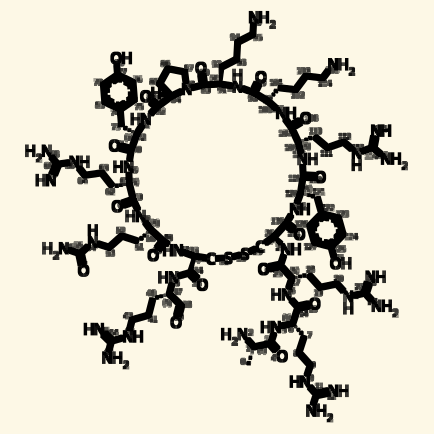 C[C@H](N)C(=O)N[C@@H](CCCNC(=N)N)C(=O)N[C@@H](CCCNC(=N)N)C(=O)N[C@H]1CSSC[C@@H](C(=O)N[C@H](C=O)CCCNC(=N)N)NC(=O)[C@H](CCCNC(N)=O)NC(=O)[C@H](CCCNC(=N)N)NC(=O)[C@H](Cc2ccc(O)cc2)NC(=O)[C@@H]2CCCN2C(=O)[C@@H](CCCCN)NC(=O)[C@H](CCCCN)NC(=O)[C@H](CCCNC(=N)N)NC(=O)[C@H](Cc2ccc(O)cc2)NC1=O